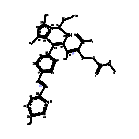 C=C(C)/C(CCC(=O)OC)=C(/C)C1=C(c2ccc(/C=C/c3nnc(C)nn3)cc2)c2c(C)cc(C)n2C(CF)N1